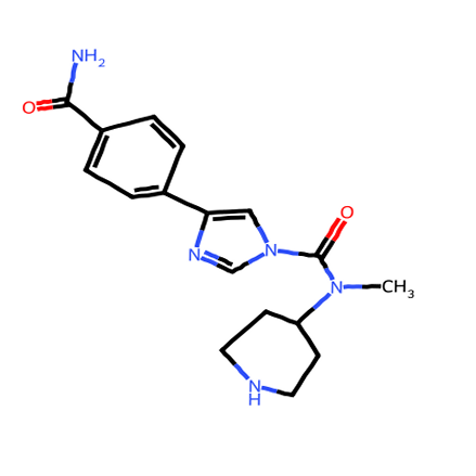 CN(C(=O)n1cnc(-c2ccc(C(N)=O)cc2)c1)C1CCNCC1